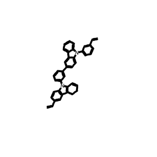 C=Cc1cccc(-n2c3ccccc3c3cc(-c4cccc(-n5c6c(c7cc(C=C)ccc75)CCC=C6)c4)ccc32)c1